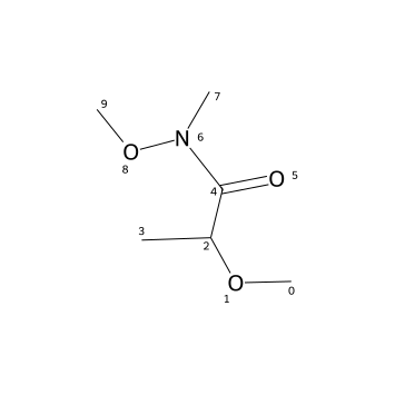 COC(C)C(=O)N(C)OC